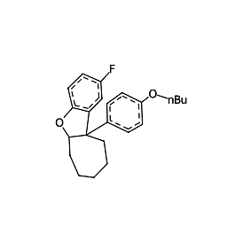 CCCCOc1ccc(C23CCCCCC2Oc2ccc(F)cc23)cc1